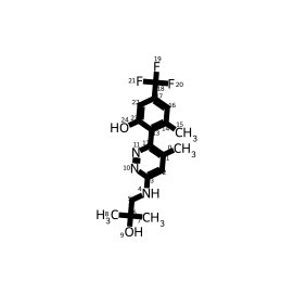 Cc1cc(NCC(C)(C)O)nnc1-c1c(C)cc(C(F)(F)F)cc1O